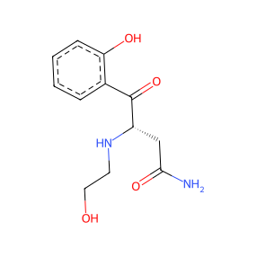 NC(=O)C[C@H](NCCO)C(=O)c1ccccc1O